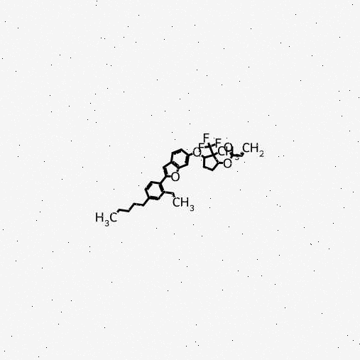 C=CC(=O)OC1CCC(Oc2ccc3cc(-c4ccc(CCCCC)cc4CC)oc3c2)C1(C)C(F)(F)F